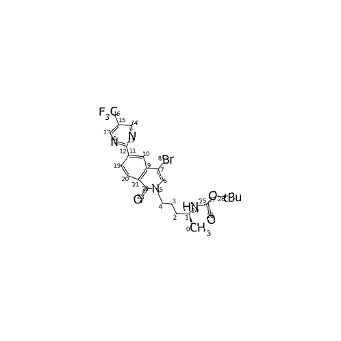 C[C@@H](CCCn1cc(Br)c2cc(-c3ncc(C(F)(F)F)cn3)ccc2c1=O)NC(=O)OC(C)(C)C